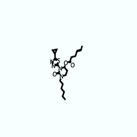 CC=CCCC(=O)OC1CCN(CCCCCC)C(=O)N1c1nnc(C2CC2)s1